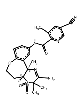 Cc1cc(C#N)cnc1C(=O)Nc1ccc2c(c1)[C@@]1(C)N=C(N)C(C)(C)S(=O)(=O)[C@]1(F)CCO2